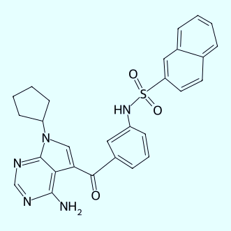 Nc1ncnc2c1c(C(=O)c1cccc(NS(=O)(=O)c3ccc4ccccc4c3)c1)cn2C1CCCC1